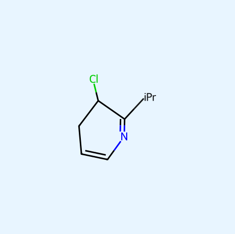 CC(C)C1=NC=CCC1Cl